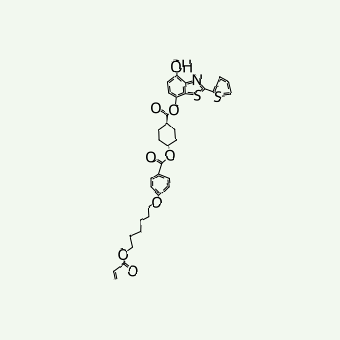 C=CC(=O)OCCCCCCOc1ccc(C(=O)O[C@H]2CC[C@H](C(=O)Oc3ccc(O)c4nc(-c5cccs5)sc34)CC2)cc1